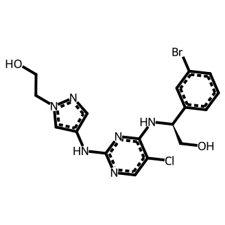 OCCn1cc(Nc2ncc(Cl)c(N[C@H](CO)c3cccc(Br)c3)n2)cn1